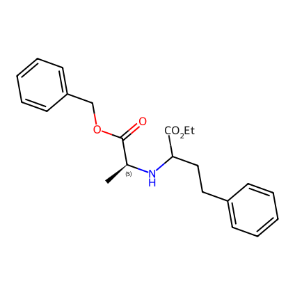 CCOC(=O)C(CCc1ccccc1)N[C@@H](C)C(=O)OCc1ccccc1